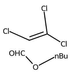 CCCCOC=O.ClC=C(Cl)Cl